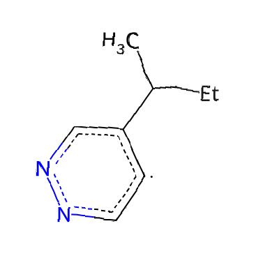 CCC(C)c1[c]cnnc1